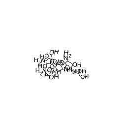 NC1CC1(O)C(=O)N[C@@H]1C[C@H](N)C(O[C@H]2O[C@H](CNCC(O)CO)[C@@H](O)C[C@H]2N)[C@H](O)[C@H]1O[C@H]1O[C@H](CO)[C@@H](O)[C@H](N)[C@H]1O